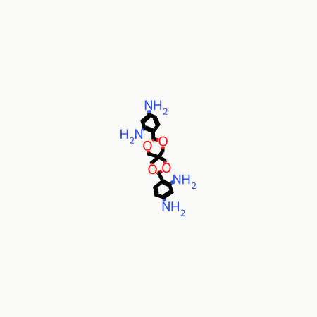 Nc1ccc(C2OCC3(CO2)COC(c2ccc(N)cc2N)OC3)c(N)c1